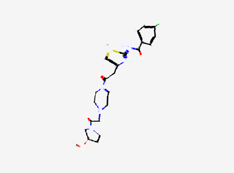 CCO[C@@H]1CCN(C(=O)CN2CCN(C(=O)Cc3csc(NC(=O)c4ccc(Cl)cc4)n3)CC2)C1